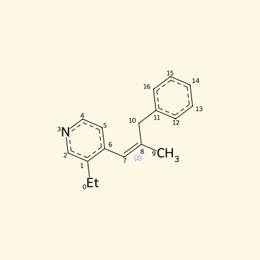 CCc1cnccc1/C=C(/C)Cc1ccccc1